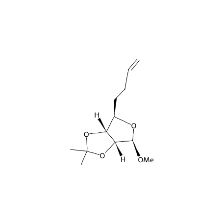 C=CCC[C@H]1O[C@@H](OC)[C@@H]2OC(C)(C)O[C@@H]21